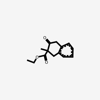 CCOC(=O)C1(C)Cc2ccccc2CC1=O